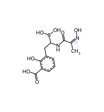 C/C(=N/O)C(=O)NC(Cc1cccc(C(=O)O)c1O)B(O)O